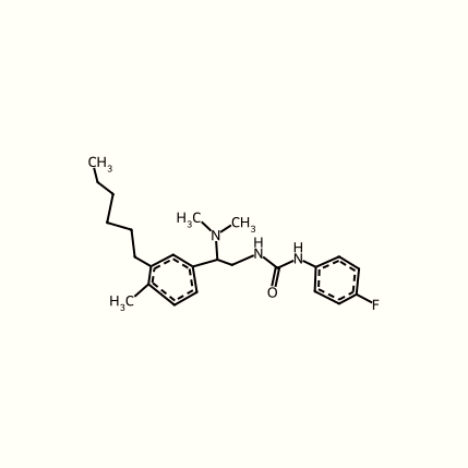 CCCCCCc1cc(C(CNC(=O)Nc2ccc(F)cc2)N(C)C)ccc1C